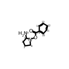 NC1CCCN1OC(=O)c1ccccc1